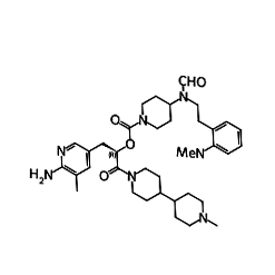 CNc1ccccc1CCN(C=O)C1CCN(C(=O)O[C@H](Cc2cnc(N)c(C)c2)C(=O)N2CCC(C3CCN(C)CC3)CC2)CC1